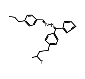 CCCc1ccc(C=NN=C(c2ccccc2)c2ccc(CCC(C)F)cc2)cc1